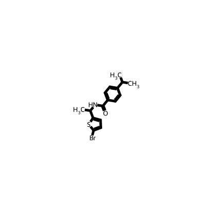 CC(C)c1ccc(C(=O)NC(C)c2ccc(Br)s2)cc1